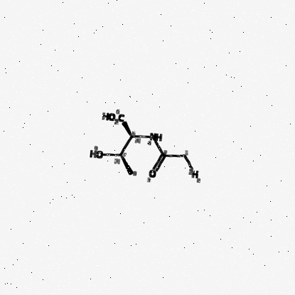 [2H]CC(=O)N[C@H](C(=O)O)[C@@H](C)O